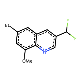 CCc1cc(OC)c2ncc(C(F)F)cc2c1